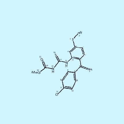 CCCSc1ccc(C(=N)c2ccc(Cl)cc2)c(NC(=S)NC(=O)OC)c1